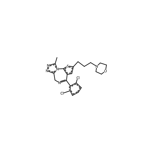 Cc1nnc2n1-c1sc(CCCN3CCOCC3)cc1C(c1c(Cl)cccc1Cl)=NC2